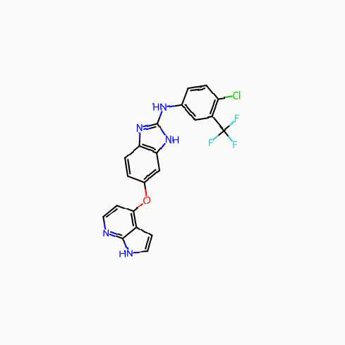 FC(F)(F)c1cc(Nc2nc3ccc(Oc4ccnc5[nH]ccc45)cc3[nH]2)ccc1Cl